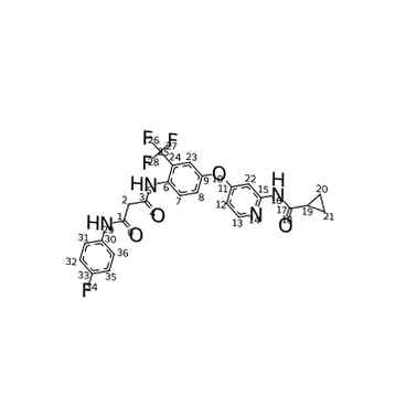 O=C(CC(=O)Nc1ccc(Oc2ccnc(NC(=O)C3CC3)c2)cc1C(F)(F)F)Nc1ccc(F)cc1